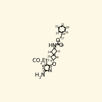 CCOC(=O)c1sc(N)nc1O[C@H]1CC2(C[C@H](NC(=O)OCc3ccccc3)C2)C1